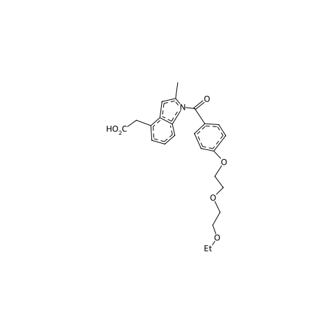 CCOCCOCCOc1ccc(C(=O)n2c(C)cc3c(CC(=O)O)cccc32)cc1